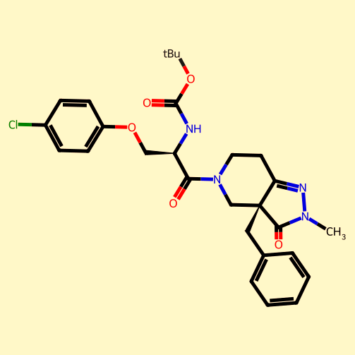 CN1N=C2CCN(C(=O)[C@@H](COc3ccc(Cl)cc3)NC(=O)OC(C)(C)C)C[C@@]2(Cc2ccccc2)C1=O